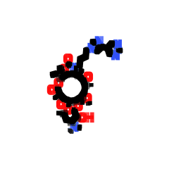 C=C[C@]12OC(=O)N(CCCCn3cnc(-c4cncnc4)c3)[C@@H]1[C@@H](C)C(=O)[C@H](C)C[C@](C)(OC)[C@H](OC1O[C@H](C)C[C@H](N(C)C)[C@H]1O)[C@@H](C)C(=O)[C@@H](C)C(=O)O[C@@H]2CC